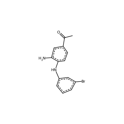 CC(=O)c1ccc(Nc2cccc(Br)c2)c(N)c1